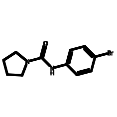 O=C(Nc1ccc(Br)cc1)N1CCCC1